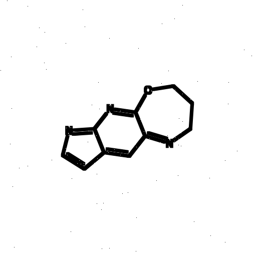 C1=Cc2cc3c(nc2=N1)OCCCN=3